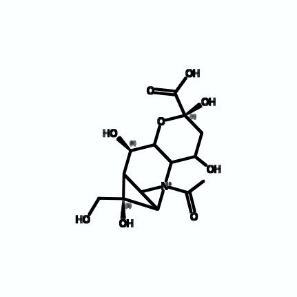 CC(=O)[N+]12C3C(O)C[C@@](O)(C(=O)O)OC3[C@H](O)C3C1C2[C@]3(O)CO